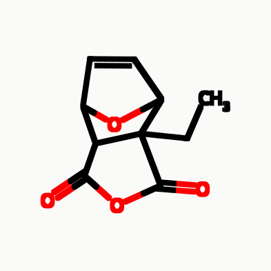 CCC12C(=O)OC(=O)C1C1C=CC2O1